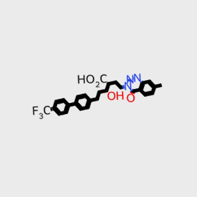 Cc1ccc2c(=O)n(CC[C@H](C(=O)O)[C@H](O)CCc3ccc(-c4ccc(C(F)(F)F)cc4)cc3)nnc2c1